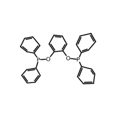 c1ccc(P(Oc2ccccc2OP(c2ccccc2)c2ccccc2)c2ccccc2)cc1